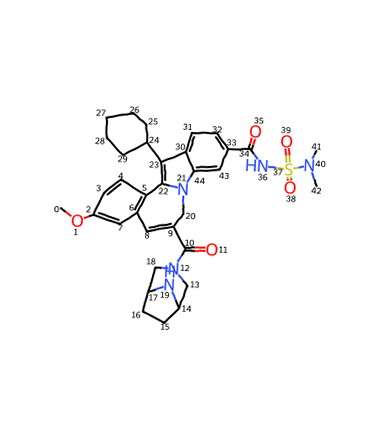 COc1ccc2c(c1)C=C(C(=O)N1CC3CCC(C1)N3)Cn1c-2c(C2CCCCC2)c2ccc(C(=O)NS(=O)(=O)N(C)C)cc21